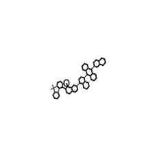 CC1(C)c2ccccc2-c2c1ccc1oc3c4cc(-c5ccc(-c6c7ccccc7c(-c7ccc8ccccc8c7)c7ccccc67)c6ccccc56)ccc4ccc3c21